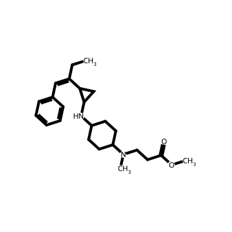 CCC(=Cc1ccccc1)C1CC1NC1CCC(N(C)CCC(=O)OC)CC1